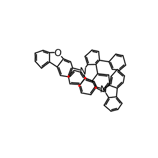 c1ccc(-c2ccccc2-c2c(-c3ccccc3)cccc2N(c2cccc(-n3c4ccccc4c4ccccc43)c2)c2ccc3c(c2)oc2ccccc23)cc1